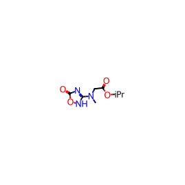 CC(C)OC(=O)CN(C)c1nc(=O)o[nH]1